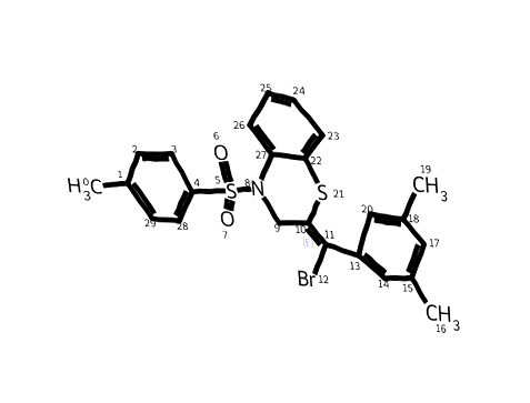 Cc1ccc(S(=O)(=O)N2C/C(=C(\Br)c3cc(C)cc(C)c3)Sc3ccccc32)cc1